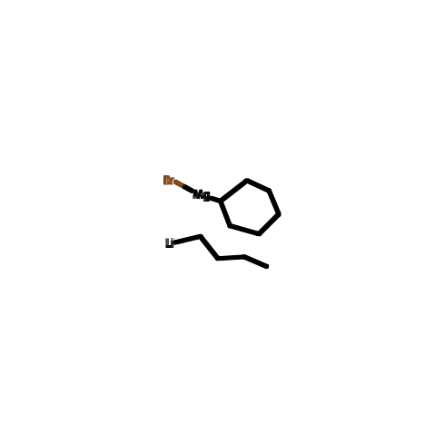 [Br][Mg][CH]1CCCCC1.[Li][CH2]CCC